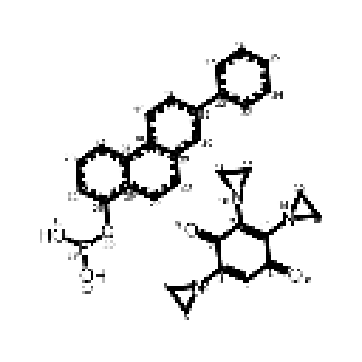 O=C1C=C(N2CC2)C(=O)C(N2CC2)=C1N1CC1.OP(O)Oc1cccc2c1ccc1cc(-c3ccccc3)ccc12